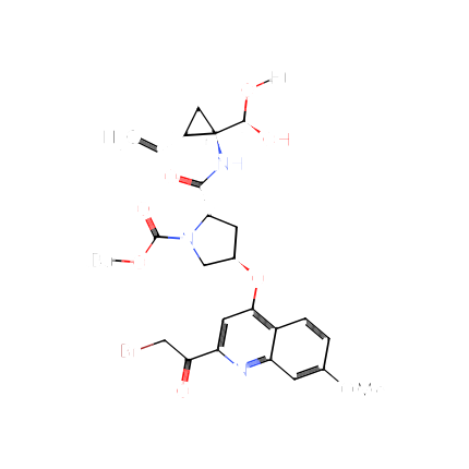 C=C[C@@H]1C[C@]1(NC(=O)[C@@H]1C[C@@H](Oc2cc(C(=O)CBr)nc3cc(OC)ccc23)CN1C(=O)OC(C)(C)C)[C@H](O)OCC